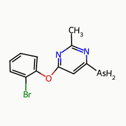 Cc1nc([AsH2])cc(Oc2ccccc2Br)n1